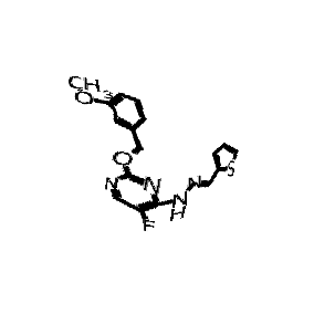 COc1cccc(COc2ncc(F)c(NN=Cc3cccs3)n2)c1